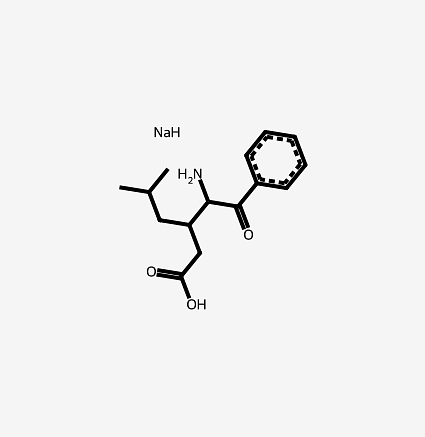 CC(C)CC(CC(=O)O)C(N)C(=O)c1ccccc1.[NaH]